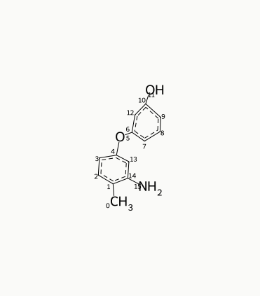 Cc1ccc(Oc2cccc(O)c2)cc1N